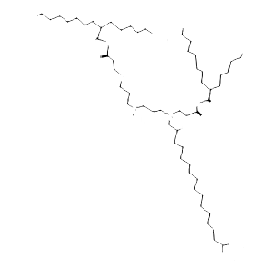 CCCCCCCCC(CCCCCC)C(=O)OC(=O)CCNCCCN(C)CCCN(CCC(=O)OC(=O)C(CCCCCC)CCCCCCCC)CC(O)CCCCCCCCCCCCCC(C)C